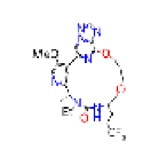 CCN1C(=O)NC(CCC(F)(F)F)COCCCOc2nc(cn3ncnc23)-c2cc(ncc2OC)[C@H]1C